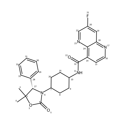 CC1(C)OC(=O)N(C2CCC(NC(=O)c3ccnc4cc(F)cnc34)CC2)[C@H]1c1ccccc1